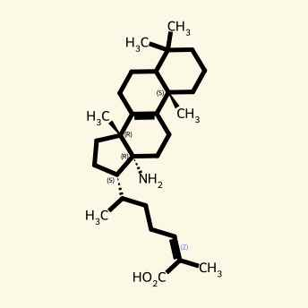 C/C(=C/CCC(C)[C@@H]1CC[C@]2(C)C3=C(CC[C@@]12N)[C@@]1(C)CCCC(C)(C)C1CC3)C(=O)O